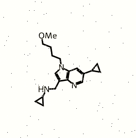 COCCCCn1cc(CNC2CC2)c2ncc(C3CC3)cc21